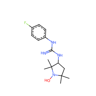 CC1(C)CC(NC(=N)Nc2ccc(F)cc2)C(C)(C)N1O